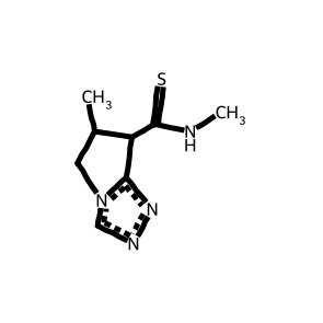 CNC(=S)C1c2nncn2CC1C